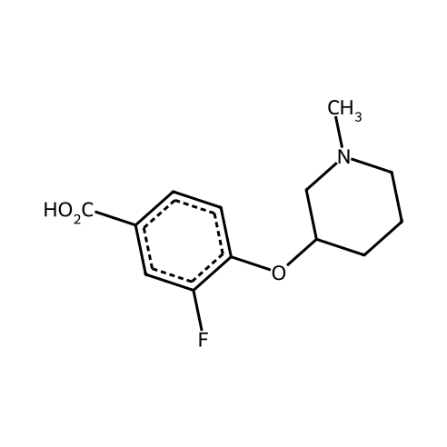 CN1CCCC(Oc2ccc(C(=O)O)cc2F)C1